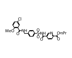 CCCOC(=O)c1ccc(C(=O)NS(=O)(=O)c2ccc(CNC(=O)c3cc(Cl)ccc3OC)cc2)cn1